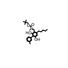 CCCCCc1cc(O)c(-c2cccc(C)c2)c(O)c1CN(C)C(=O)OCC(C)(C)C